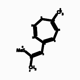 CS/C(C)=C\C1=CC=C(C(F)(F)F)CC=C1